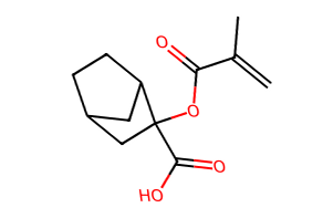 C=C(C)C(=O)OC1(C(=O)O)CC2CCC1C2